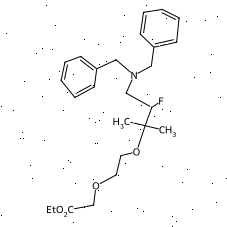 CCOC(=O)COCCOC(C)(C)C(F)CN(Cc1ccccc1)Cc1ccccc1